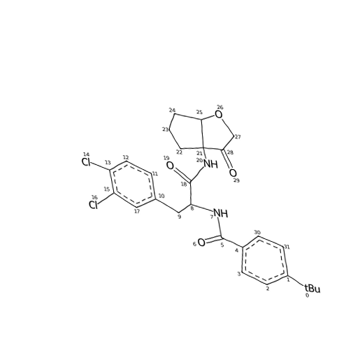 CC(C)(C)c1ccc(C(=O)NC(Cc2ccc(Cl)c(Cl)c2)C(=O)NC23CCCC2OCC3=O)cc1